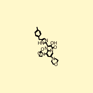 Cc1ccc(Cc2cnc(-c3nc4c(N5CCOC5=O)cc(N5CCOCC5)cn4c(=O)c3O)[nH]2)cc1